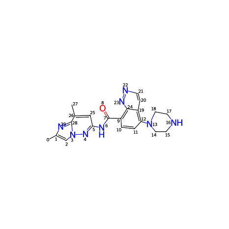 Cc1cn2nc(NC(=O)c3ccc(N4CCNCC4)c4ccnnc34)cc(C)c2n1